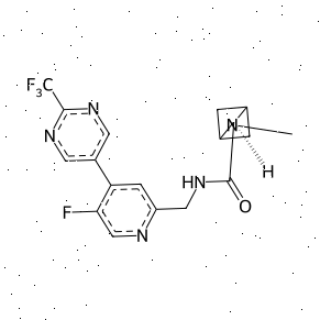 CN1C2CC(C2)[C@H]1C(=O)NCc1cc(-c2cnc(C(F)(F)F)nc2)c(F)cn1